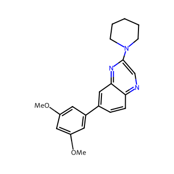 COc1cc(OC)cc(-c2ccc3ncc(N4CCCCC4)nc3c2)c1